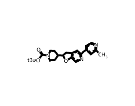 Cc1cc(-c2cc3c(cn2)OC(C2CCN(C(=O)OC(C)(C)C)CC2)C3)ccn1